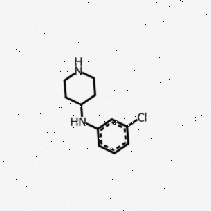 Clc1cccc(NC2CCNCC2)c1